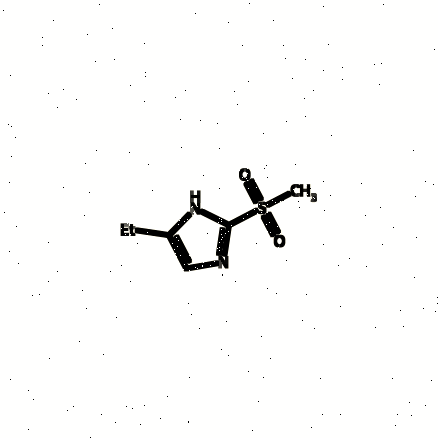 CCc1cnc(S(C)(=O)=O)[nH]1